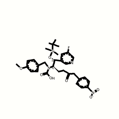 COc1ccc(CN(C(=O)O)[C@H](CCC(=O)Cc2ccc([N+](=O)[O-])cc2)[C@H](O[Si](C)(C)C(C)(C)C)c2cncc(F)c2)cc1